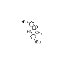 Cc1cc(C(C)(C)C)ccc1Nc1coc2ccc(C(C)(C)C)cc12